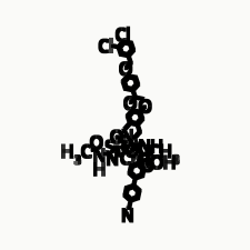 CC(=O)Nc1nc(C)c(S(=O)(=O)N2Cc3cc4c(cc3C[C@H]2C(=O)N[C@@](C)(Cc2ccc(-c3ccc(C#N)cc3)cc2)C(=O)O)OCC(c2ccc(OCc3ccc(Cl)c(Cl)c3)cc2)O4)s1